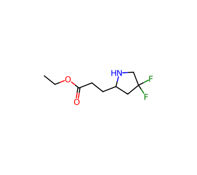 CCOC(=O)CCC1CC(F)(F)CN1